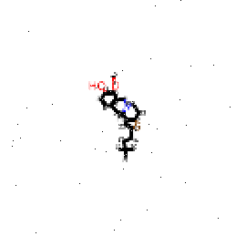 COc1c(O)ccc2c1CN1CCc3sc(CCC(C)(C)C)cc3[C@@H]1C2